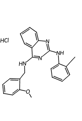 COc1ccccc1CNc1nc(Nc2ccccc2C)nc2ccccc12.Cl